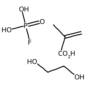 C=C(C)C(=O)O.O=P(O)(O)F.OCCO